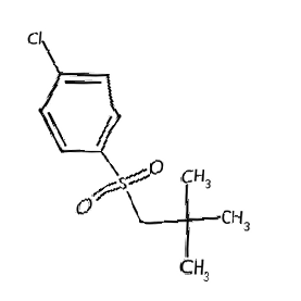 CC(C)(C)CS(=O)(=O)c1ccc(Cl)cc1